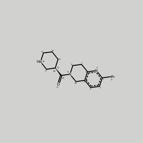 CC(C)c1ccc2c(n1)CCN(C(=O)[C@@H]1CCCNC1)C2